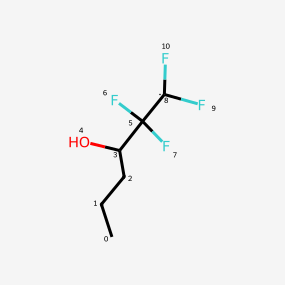 CCCC(O)C(F)(F)[C](F)F